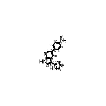 CN(C)c1ccc(-c2cnc3[nH]cc(-c4nnc[nH]4)c3c2)cc1